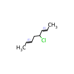 C/C=C/CC(Cl)/C=C/C